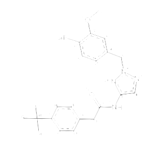 COc1cc(Cn2ncc(NC(=O)Cc3ccc(C(C)(C)C)cc3)n2)ccc1F